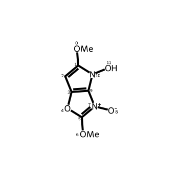 COc1cc2oc(OC)[n+]([O-])c2n1O